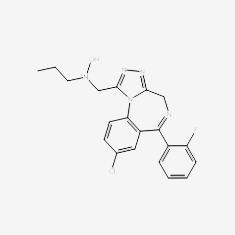 CCCN(O)Cc1nnc2n1-c1ccc(Cl)cc1C(c1ccccc1F)=NC2